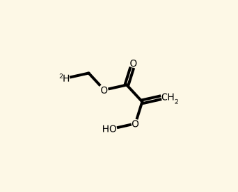 [2H]COC(=O)C(=C)OO